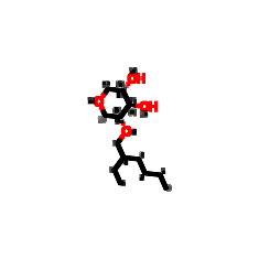 CCCCC(CC)CO[C@@H]1COC[C@H](O)[C@H]1O